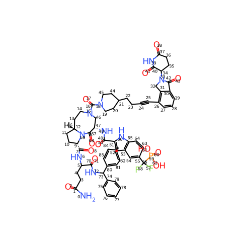 NC(=O)CCC(NC(=O)[C@@H]1CC[C@@H]2CCN(C(=O)N3CCC(CCC#Cc4cccc5c4CN(C4CCC(=O)NC4=O)C5=O)CC3)C[C@H](NC(=O)c3cc4cc(C(F)(F)P(=O)(O)O)ccc4[nH]3)C(=O)N21)C(=O)NC(c1ccccc1)c1ccccc1